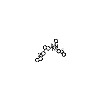 c1ccc(-c2nc(-c3ccc4c(-c5ccc6c(c5)oc5c7ccccc7ccc65)cccc4c3)nc(-c3ccc4c(c3)sc3ccccc34)n2)cc1